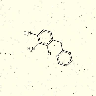 Nc1c([N+](=O)[O-])ccc(Sc2ccccc2)c1Cl